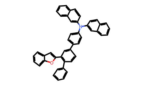 c1ccc(-c2ccc(-c3ccc(N(c4ccc5ccccc5c4)c4ccc5ccccc5c4)cc3)cc2-c2cc3ccccc3o2)cc1